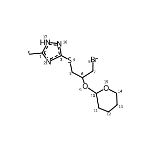 Cc1nc(SCC(CBr)OC2CCCCO2)n[nH]1